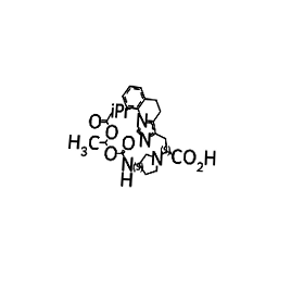 CC(OC(=O)N[C@H]1CCN([C@@H](Cc2ncn3c2CCc2ccccc2-3)C(=O)O)C1)OC(=O)C(C)C